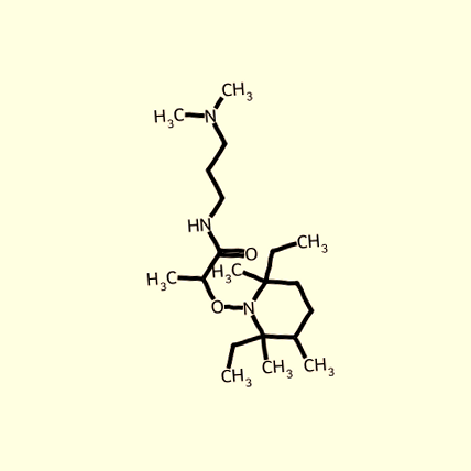 CCC1(C)CCC(C)C(C)(CC)N1OC(C)C(=O)NCCCN(C)C